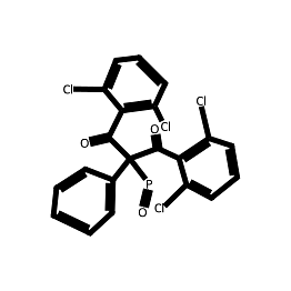 O=PC(C(=O)c1c(Cl)cccc1Cl)(C(=O)c1c(Cl)cccc1Cl)c1ccccc1